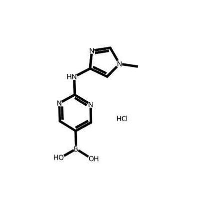 Cl.Cn1cnc(Nc2ncc(B(O)O)cn2)c1